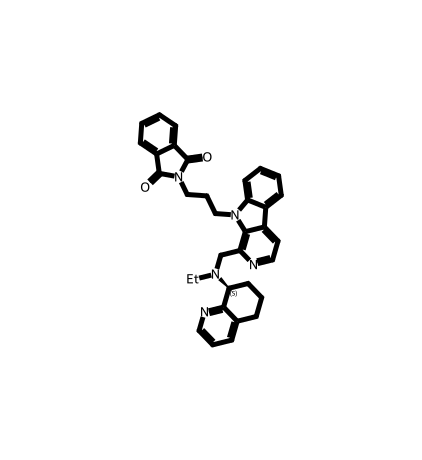 CCN(Cc1nccc2c3ccccc3n(CCCN3C(=O)c4ccccc4C3=O)c12)[C@H]1CCCc2cccnc21